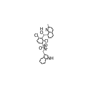 Cc1ccc2cccc(C(O)c3c(Cl)ccc(S(=O)(=O)N(C)Cc4c[nH]c5ccccc45)c3Cl)c2n1